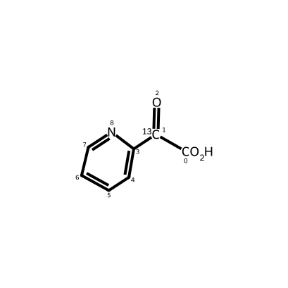 O=C(O)[13C](=O)c1ccccn1